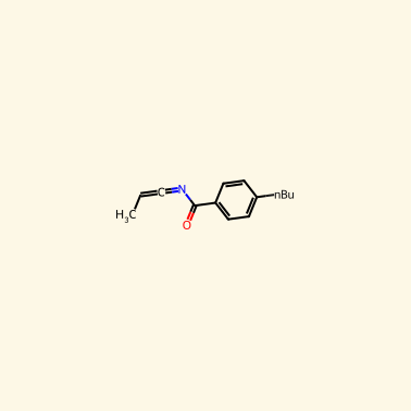 CC=C=NC(=O)c1ccc(CCCC)cc1